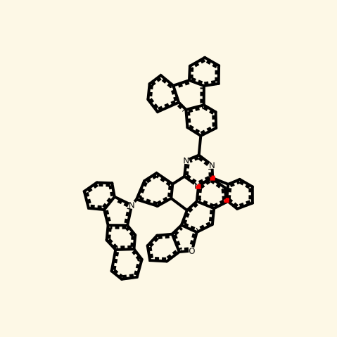 c1ccc(-c2nc(-c3ccc4c5ccccc5c5ccccc5c4c3)nc(-c3ccc(-n4c5ccccc5c5cc6ccccc6cc54)cc3-c3c4ccccc4cc4oc5ccccc5c34)n2)cc1